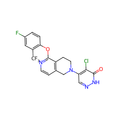 O=c1[nH]ncc(N2CCc3c(ccnc3Oc3ccc(F)cc3C(F)(F)F)C2)c1Cl